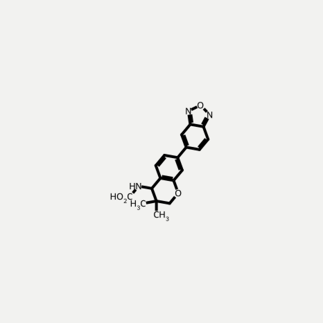 CC1(C)COc2cc(-c3ccc4nonc4c3)ccc2C1NC(=O)O